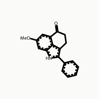 COc1cc2c3c(c(-c4ccccc4)[nH]c3c1)CCC2=O